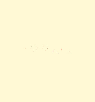 N#CCC(=O)N/N=C/c1ccc(-c2ccc(Br)cc2)o1